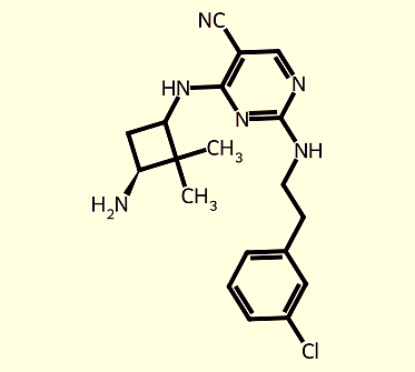 CC1(C)C(Nc2nc(NCCc3cccc(Cl)c3)ncc2C#N)C[C@@H]1N